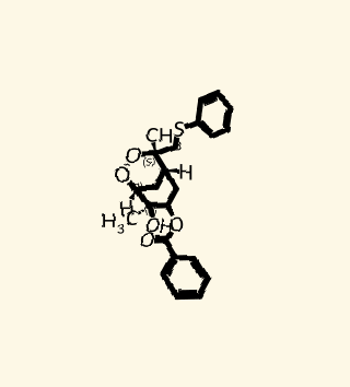 C[C@]1(CSc2ccccc2)OO[C@@H]2C[C@H]1CC(OC(=O)c1ccccc1)[C@@]2(C)O